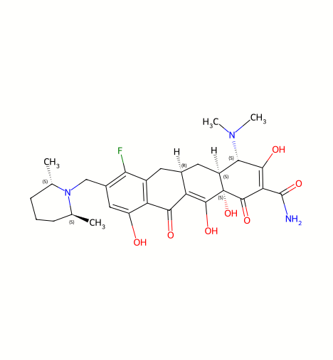 C[C@H]1CCC[C@H](C)N1Cc1cc(O)c2c(c1F)C[C@H]1C[C@H]3[C@H](N(C)C)C(O)=C(C(N)=O)C(=O)[C@@]3(O)C(O)=C1C2=O